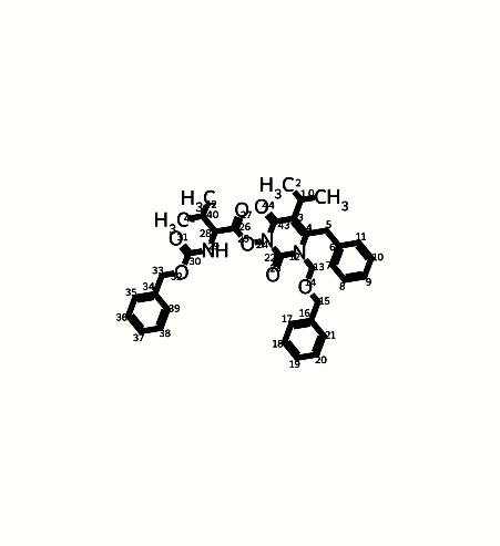 CC(C)c1c(Cc2ccccc2)n(COCc2ccccc2)c(=O)n(OC(=O)C(NC(=O)OCc2ccccc2)C(C)C)c1=O